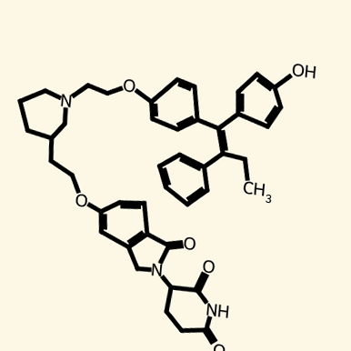 CCC(=C(c1ccc(O)cc1)c1ccc(OCCN2CCCC(CCOc3ccc4c(c3)CN(C3CCC(=O)NC3=O)C4=O)C2)cc1)c1ccccc1